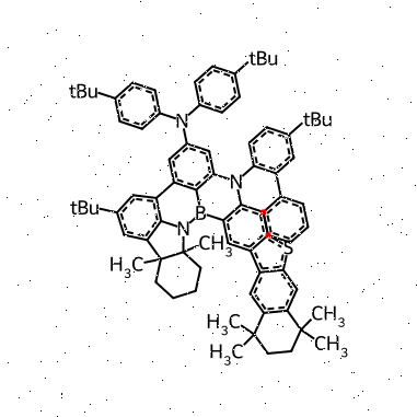 CC(C)(C)c1ccc(N(c2ccc(C(C)(C)C)cc2)c2cc3c4c(c2)N(c2ccc(C(C)(C)C)cc2-c2ccccc2)c2cc5sc6cc7c(cc6c5cc2B4N2c4c-3cc(C(C)(C)C)cc4C3(C)CCCCC23C)C(C)(C)CCC7(C)C)cc1